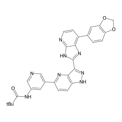 CC(C)(C)C(=O)Nc1cncc(-c2ccc3[nH]nc(-c4nc5c(-c6ccc7c(c6)OCO7)ccnc5[nH]4)c3n2)c1